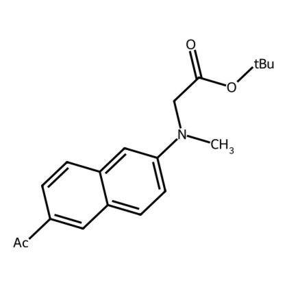 CC(=O)c1ccc2cc(N(C)CC(=O)OC(C)(C)C)ccc2c1